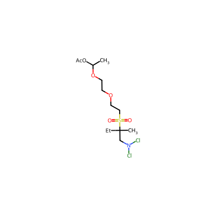 CCC(C)(CN(Cl)Cl)S(=O)(=O)CCOCCOC(C)OC(C)=O